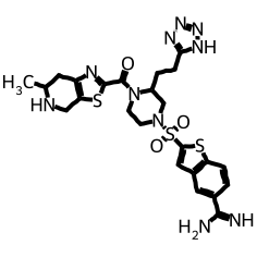 CC1Cc2nc(C(=O)N3CCN(S(=O)(=O)c4cc5cc(C(=N)N)ccc5s4)CC3CCc3nnn[nH]3)sc2CN1